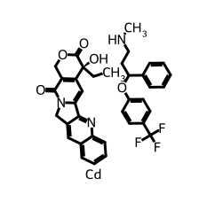 CC[C@@]1(O)C(=O)OCc2c1cc1n(c2=O)Cc2cc3ccccc3nc2-1.CNCCC(Oc1ccc(C(F)(F)F)cc1)c1ccccc1.[Cd]